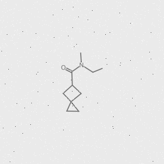 CCN(C)C(=O)C1CC2(CC2)C1